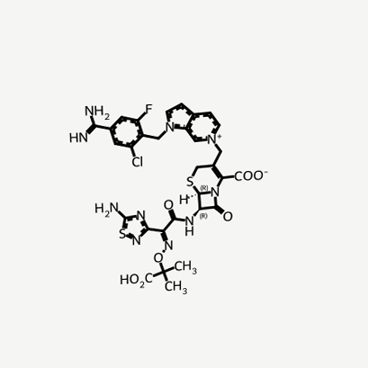 CC(C)(ON=C(C(=O)N[C@@H]1C(=O)N2C(C(=O)[O-])=C(C[n+]3ccc4ccn(Cc5c(F)cc(C(=N)N)cc5Cl)c4c3)CS[C@H]12)c1nsc(N)n1)C(=O)O